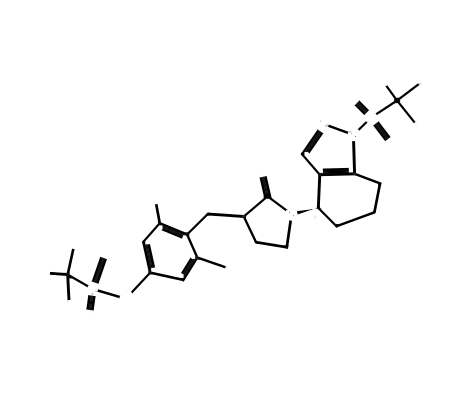 O=C1C(Cc2c(Cl)cc(OS(=O)(=O)C(F)(F)F)cc2Cl)CCN1[C@@H]1CCCc2c1cnn2S(=O)(=O)C(F)(F)F